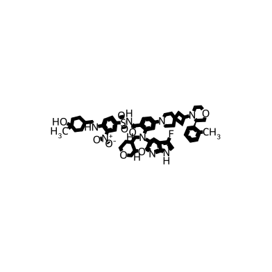 Cc1ccccc1[C@@H]1COCCN1C1CC2(CCN(c3ccc(C(=O)NS(=O)(=O)c4ccc(NCC5CCC(C)(O)CC5)c([N+](=O)[O-])c4)c(N4C[C@@H]5CCOC[C@H]5Oc5nc6[nH]cc(F)c6cc54)c3)CC2)C1